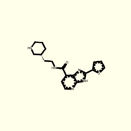 O=C(NCC[C@H]1CCCNC1)c1ccnc2[nH]c(-c3cccs3)nc12